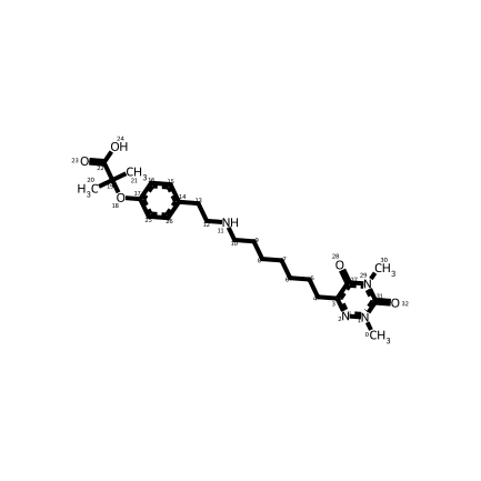 Cn1nc(CCCCCCCNCCc2ccc(OC(C)(C)C(=O)O)cc2)c(=O)n(C)c1=O